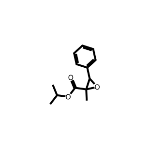 CC(C)OC(=O)C1(C)OC1c1ccccc1